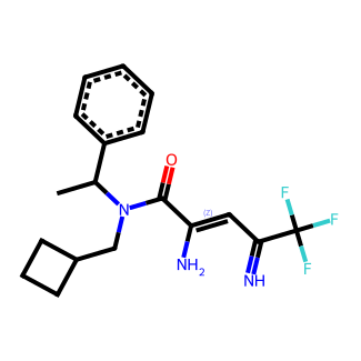 CC(c1ccccc1)N(CC1CCC1)C(=O)/C(N)=C/C(=N)C(F)(F)F